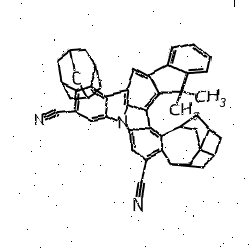 CC1(C)c2ccccc2-c2cc3c4c5c(c(C#N)cc4n4c6cc(C#N)c7c(c6c(c21)c34)C1CC2CC3CC7CC32C1)C1CC2CC(C1)CC5C2